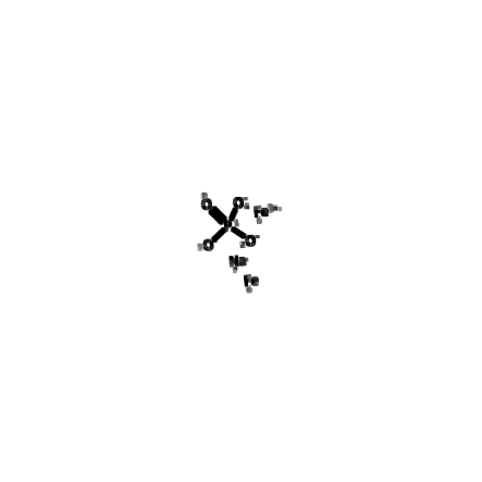 O=P([O-])([O-])[O-].[Fe+3].[Fe].[Na]